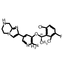 C[C@@H](Oc1cc(-c2cn3c(n2)CNCC3)cnc1N)c1c(Cl)ccc(F)c1Cl